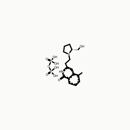 Cc1cccc2c(=O)[nH]c(CCN3CCC[C@@H]3CO)cc12.O=P(O)(O)OP(=O)(O)O